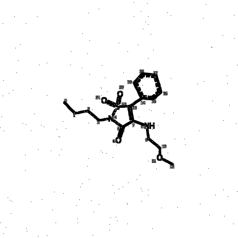 CCCCN1C(=O)C(NCCOC)=C(c2ccccc2)S1(=O)=O